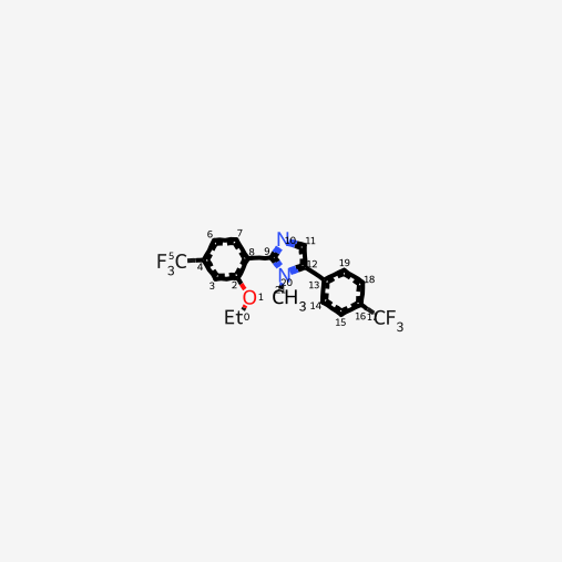 CCOc1cc(C(F)(F)F)ccc1-c1ncc(-c2ccc(C(F)(F)F)cc2)n1C